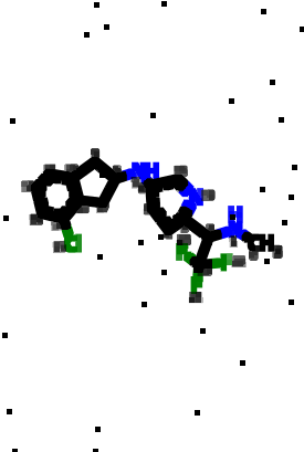 CNC(c1ccc(NC2Cc3cccc(Cl)c3C2)cn1)C(F)(F)F